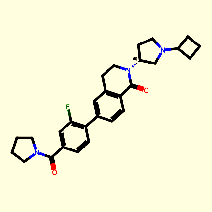 O=C(c1ccc(-c2ccc3c(c2)CCN([C@@H]2CCN(C4CCC4)C2)C3=O)c(F)c1)N1CCCC1